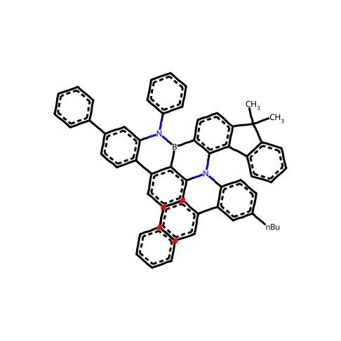 CCCCc1ccc(N2c3cc(-c4ccccc4)cc4c3B(c3ccc5c(c32)-c2ccccc2C5(C)C)N(c2ccccc2)c2cc(-c3ccccc3)ccc2-4)c(-c2ccccc2)c1